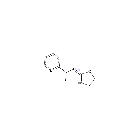 CC(/N=C1\NCCO1)c1ccccn1